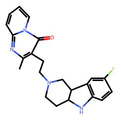 Cc1nc2ccccn2c(=O)c1CCN1CCC2Nc3ccc(F)cc3C2C1